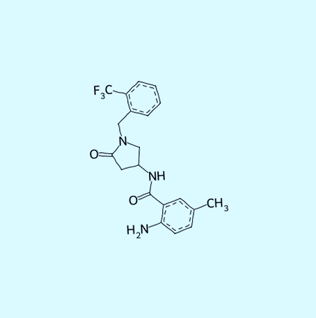 Cc1ccc(N)c(C(=O)NC2CC(=O)N(Cc3ccccc3C(F)(F)F)C2)c1